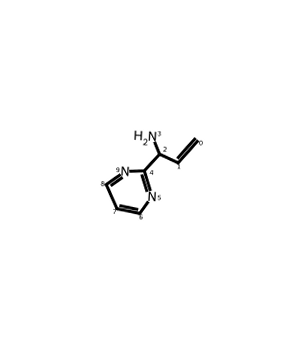 C=CC(N)c1ncccn1